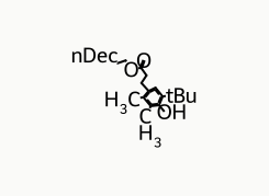 CCCCCCCCCCCCOC(=O)CCc1cc(C(C)(C)C)c(O)c(C)c1C